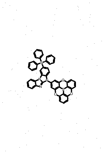 c1ccc([Si](c2ccccc2)(c2ccccc2)c2ccc3c(c2)n2c4ccccc4nc2n3-c2cc3c4c(c2)Oc2cccc5c2B4c2c(cccc2O3)O5)cc1